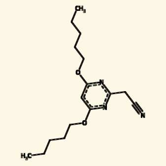 CCCCCOc1cc(OCCCCC)nc(CC#N)n1